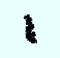 O=C(O)c1ccc2nc(Cc3ccc(-c4ccnc(OCc5ccc(C(F)F)cc5F)n4)c(F)c3)n(C[C@@H]3CCO3)c2c1